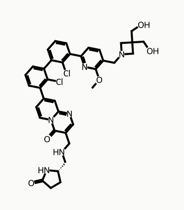 COc1nc(-c2cccc(-c3cccc(-c4ccn5c(=O)c(CNC[C@@H]6CCC(=O)N6)cnc5c4)c3Cl)c2Cl)ccc1CN1CC(CO)(CO)C1